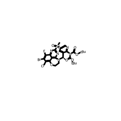 C[C@H](c1cccnc1N(C(=O)OC(C)(C)C)C(=O)OC(C)(C)C)N1CCOc2c(Cl)c(Br)c(F)c3nc(S(C)(=O)=O)nc1c23